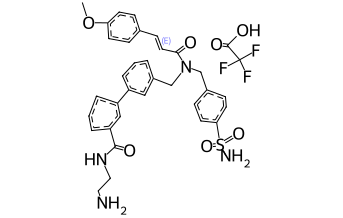 COc1ccc(/C=C/C(=O)N(Cc2ccc(S(N)(=O)=O)cc2)Cc2cccc(-c3cccc(C(=O)NCCN)c3)c2)cc1.O=C(O)C(F)(F)F